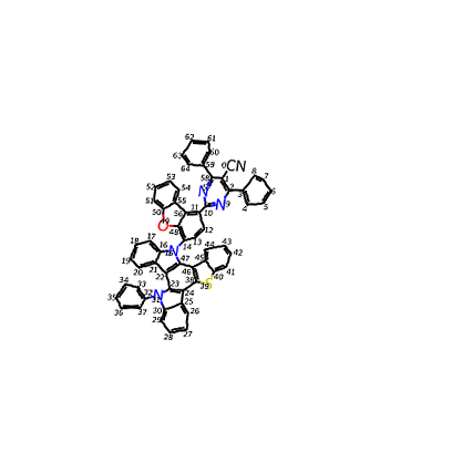 N#Cc1c(-c2ccccc2)nc(-c2ccc(-n3c4ccccc4c4c5c(c6ccccc6n5-c5ccccc5)c5sc6ccccc6c5c43)c3oc4ccccc4c23)nc1-c1ccccc1